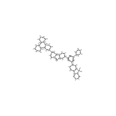 CC1(C)c2ccccc2-c2ccc(-c3nc(-c4ccccc4)nc(-c4ccc5c(c4)oc4ccc(-c6ccc7c8ccccc8c8ccccc8c7c6)cc45)n3)cc21